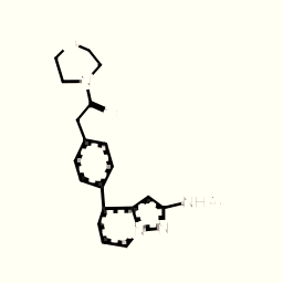 CC(=O)Nc1cc2c(-c3ccc(CC(=O)N4CCOCC4)cc3)cccn2n1